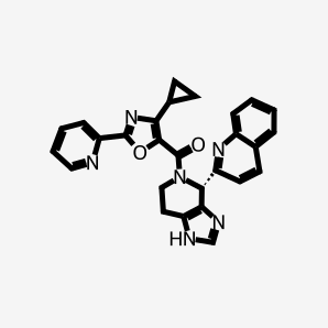 O=C(c1oc(-c2ccccn2)nc1C1CC1)N1CCc2[nH]cnc2[C@H]1c1ccc2ccccc2n1